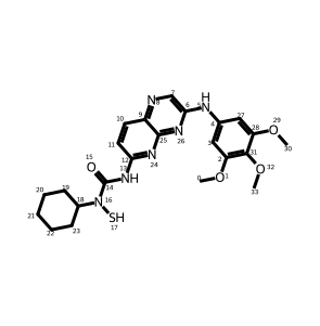 COc1cc(Nc2cnc3ccc(NC(=O)N(S)C4CCCCC4)nc3n2)cc(OC)c1OC